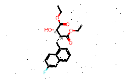 CCOC(=O)[C@@H](O)[C@@H](Cc1cccc2cc(F)ccc12)C(=O)OCC